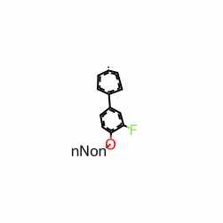 CCCCCCCCCOc1ccc(-c2cc[c]cc2)cc1F